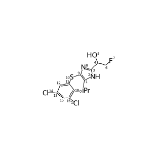 CC(C)c1[nH]c(C(O)CF)nc1Sc1cc(Cl)cc(Cl)c1